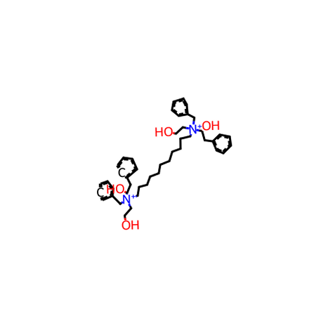 OCC[N+](CCCCCCCCCCC[N+](CCO)(Cc1ccccc1)C(O)Cc1ccccc1)(Cc1ccccc1)C(O)Cc1ccccc1